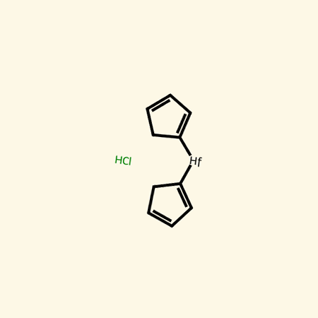 C1=CC[C]([Hf][C]2=CC=CC2)=C1.Cl